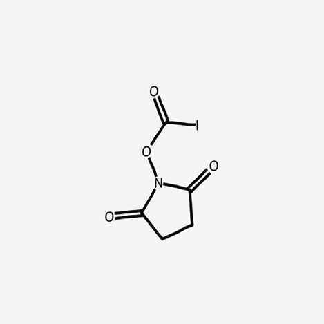 O=C(I)ON1C(=O)CCC1=O